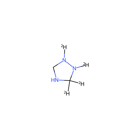 [2H]N1CNC([2H])([2H])N1[2H]